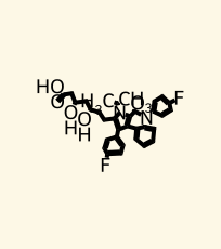 CC(C)n1c(CCC(O)CC(O)CC(=O)O)c(-c2ccc(F)cc2)c2c3ccccc3n(-c3ccc(F)cc3)c(=O)c21